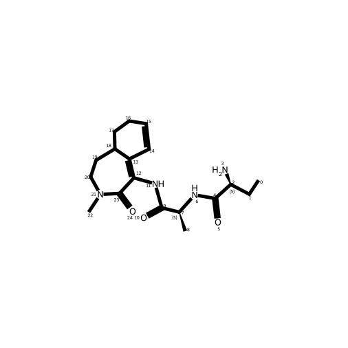 CC[C@H](N)C(=O)N[C@@H](C)C(=O)NC1=C2C=CCCC2CCN(C)C1=O